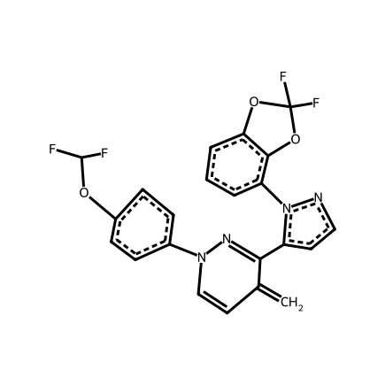 C=C1C=CN(c2ccc(OC(F)F)cc2)N=C1c1ccnn1-c1cccc2c1OC(F)(F)O2